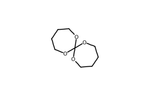 C1CCOC2(OC1)OCCCCO2